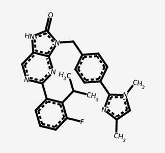 Cc1cn(C)c(-c2ccc(Cn3c(=O)[nH]c4cnc(-c5cccc(F)c5C(C)C)nc43)cc2)n1